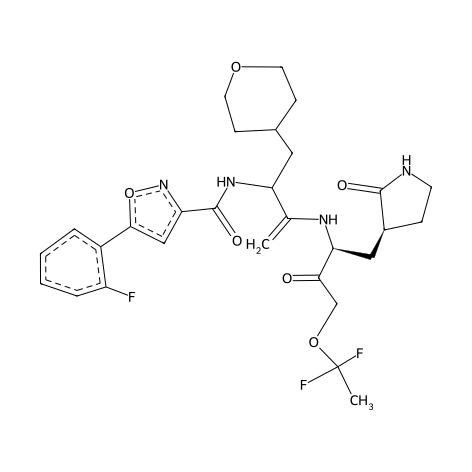 C=C(N[C@@H](C[C@@H]1CCNC1=O)C(=O)COC(C)(F)F)C(CC1CCOCC1)NC(=O)c1cc(-c2ccccc2F)on1